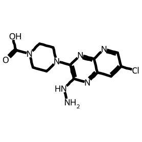 NNc1nc2cc(Cl)cnc2nc1N1CCN(C(=O)O)CC1